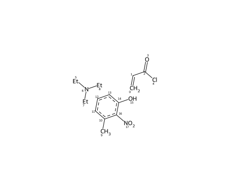 C=CC(=O)Cl.CCN(CC)CC.Cc1cccc(O)c1[N+](=O)[O-]